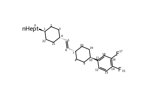 CCCCCCC[C@H]1CC[C@H](/C=C/[C@H]2CC[C@H](c3ccc(F)c(F)c3)CC2)CC1